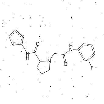 O=C(CN1CCCC1C(=O)Nc1nccs1)Nc1cccc(F)c1